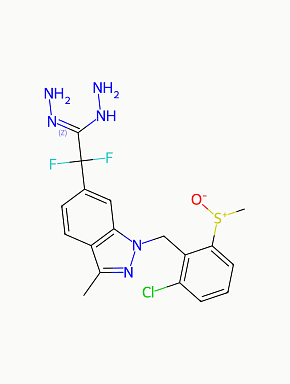 Cc1nn(Cc2c(Cl)cccc2[S+](C)[O-])c2cc(C(F)(F)/C(=N/N)NN)ccc12